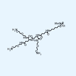 CCP(=O)(OC)OCCCCCCNC(=O)CCCC(=O)NC(CCC(=O)NC(CCC(=O)NCCOCCON)C(=O)NCCOCCON)C(=O)NCCOCCON